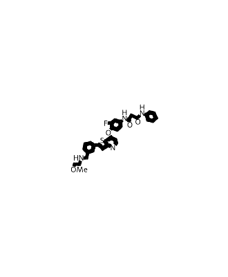 COCCNCc1cccc(-c2cc3nccc(Oc4ccc(NC(=O)CC(=O)Nc5ccccc5)cc4F)c3s2)c1